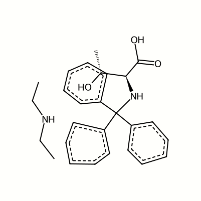 CCNCC.C[C@@H](O)[C@H](NC(c1ccccc1)(c1ccccc1)c1ccccc1)C(=O)O